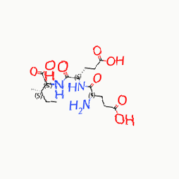 CC[C@H](C)[C@H](NC(=O)[C@H](CCC(=O)O)NC(=O)[C@@H](N)CCC(=O)O)C(=O)O